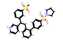 CS(=O)(=O)c1cccc(C(Cc2ccccc2-c2ccc(S(=O)(=O)N3CCCC3)cc2)c2cccnc2)c1